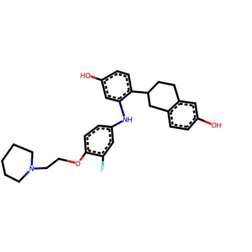 Oc1ccc2c(c1)CCC(c1ccc(O)cc1Nc1ccc(OCCN3CCCCC3)c(F)c1)C2